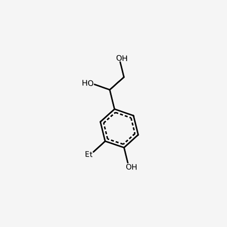 CCc1cc(C(O)CO)ccc1O